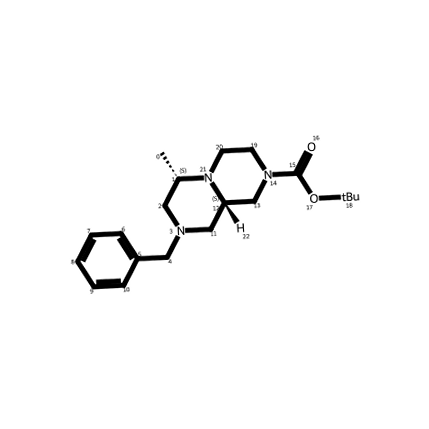 C[C@H]1CN(Cc2ccccc2)C[C@H]2CN(C(=O)OC(C)(C)C)CCN21